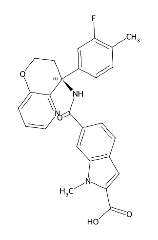 Cc1ccc([C@@]2(NC(=O)c3ccc4cc(C(=O)O)n(C)c4c3)CCOc3cccnc32)cc1F